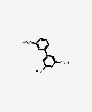 O=C(O)c1cccc(-c2cc(C(=O)O)cc(C(=O)O)c2)c1